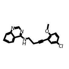 COc1ccc(Cl)cc1C#CCCNc1ncnc2ccccc12